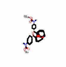 CN(C(=O)OC(C)(C)C)[C@H]1CC[C@H](C(OC(c2ccccc2)[C@H]2CC[C@H](N(C)C(=O)OC(C)(C)C)CC2)c2ccccc2)CC1